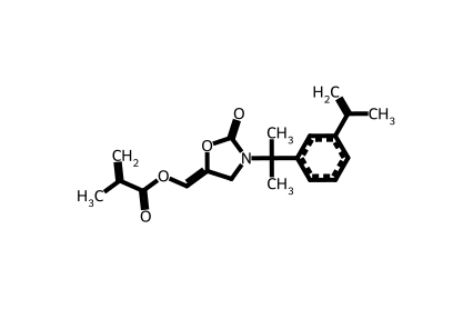 C=C(C)C(=O)O/C=C1/CN(C(C)(C)c2cccc(C(=C)C)c2)C(=O)O1